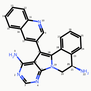 Nc1ncnc2c1c(-c1cnc3ccccc3c1)c1n2C[C@H](N)c2ccccc2-1